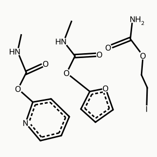 CNC(=O)Oc1ccccn1.CNC(=O)Oc1ccco1.NC(=O)OCCI